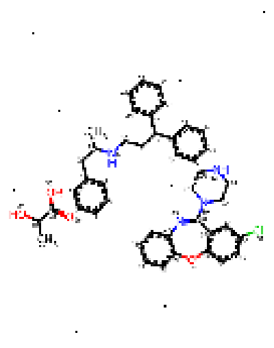 CC(Cc1ccccc1)NCCC(c1ccccc1)c1ccccc1.CC(O)C(=O)O.Clc1ccc2c(c1)C(N1CCNCC1)=Nc1ccccc1O2